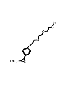 CCOCCOCCOCCOc1ccc(C2OC2C(=O)OCC)cc1